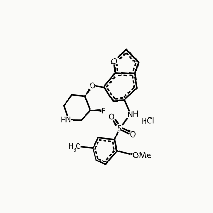 COc1ccc(C)cc1S(=O)(=O)Nc1cc(O[C@@H]2CCNC[C@@H]2F)c2occc2c1.Cl